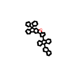 c1ccc(C2(c3ccccc3)c3ccccc3-c3cc4c(cc32)oc2ccc(-c3c5ccccc5c(-c5ccc6ccccc6c5)c5ccccc35)cc24)cc1